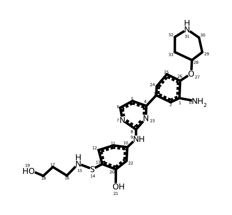 Nc1cc(-c2ccnc(Nc3ccc(SNCCCO)c(O)c3)n2)ccc1OC1CCNCC1